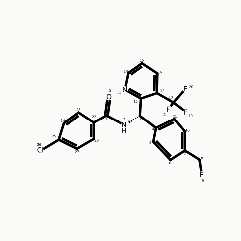 O=C(N[C@@H](c1ccc(CF)cc1)c1ncccc1C(F)(F)F)c1ccc(Cl)cc1